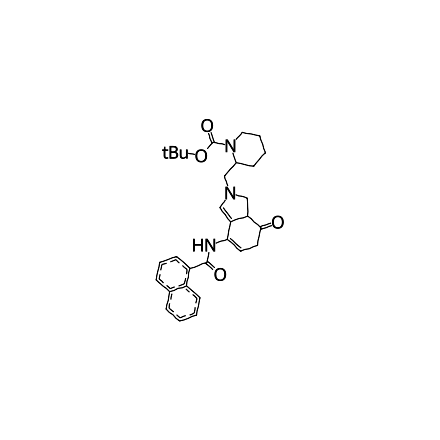 CC(C)(C)OC(=O)N1CCCCC1CN1C=C2C(NC(=O)c3cccc4ccccc34)=CCC(=O)C2C1